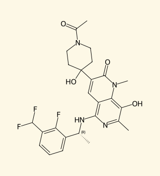 CC(=O)N1CCC(O)(c2cc3c(N[C@H](C)c4cccc(C(F)F)c4F)nc(C)c(O)c3n(C)c2=O)CC1